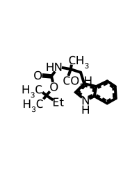 CCC(C)(C)OC(=O)NC(C)(Cc1c[nH]c2ccccc12)C(=O)O